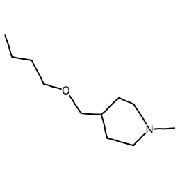 CCCCOCC1CCN(C)CC1